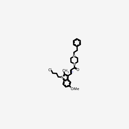 COc1ccc2c(c1)c(/C=C/C(=O)N1CCN(CCc3ccccc3)CC1)c(C)n2CCCCl